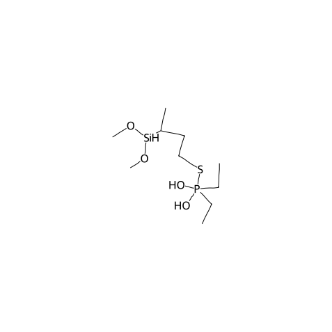 CCP(O)(O)(CC)SCCC(C)[SiH](OC)OC